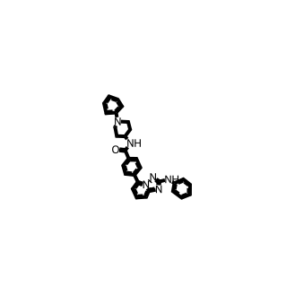 O=C(NC1CCN(c2ccccc2)CC1)c1ccc(-c2cccc3nc(Nc4ccccc4)nn23)cc1